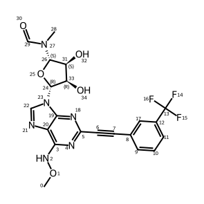 CONc1nc(C#Cc2cccc(C(F)(F)F)c2)nc2c1ncn2[C@@H]1O[C@H](N(C)C=O)[C@@H](O)[C@H]1O